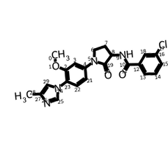 COc1cc(N2CCC(NC(=O)c3cccc(Cl)c3)C2=O)ccc1-n1cnc(C)c1